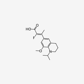 COc1cc(C(C)=C(F)C(=O)O)cc2c1N(C(C)C)CCC2